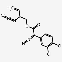 C=CC(COC(=O)C(=[N+]=[N-])c1ccc(Cl)c(Cl)c1)N=[N+]=[N-]